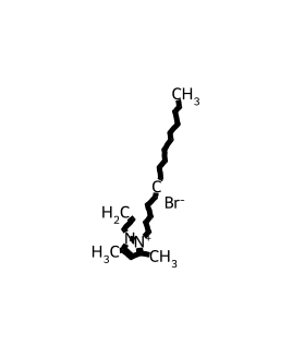 C=CCn1c(C)cc(C)[n+]1CCCCCCCCCCCCCCCC.[Br-]